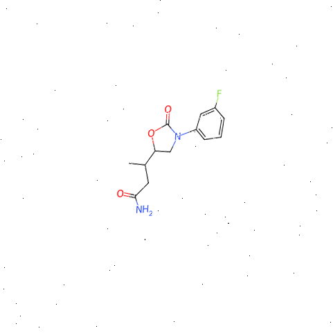 CC(CC(N)=O)C1CN(c2cccc(F)c2)C(=O)O1